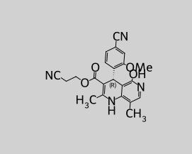 COc1cc(C#N)ccc1[C@H]1C(C(=O)OCCC#N)=C(C)Nc2c(C)cnc(O)c21